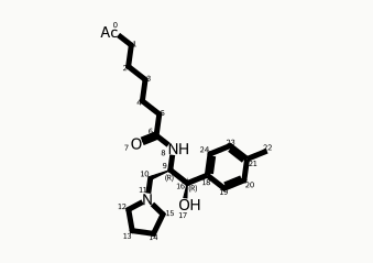 CC(=O)CCCCCC(=O)N[C@H](CN1CCCC1)[C@H](O)c1ccc(C)cc1